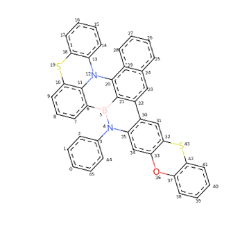 c1ccc(N2B3c4cccc5c4N(c4ccccc4S5)c4c3c(cc3ccccc43)-c3cc4c(cc32)Oc2ccccc2S4)cc1